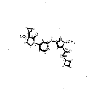 Cn1nc(Nc2cc(N3CC[C@@](C#N)(C4CC4)C3=O)ccn2)cc1C(=O)NC1CCC1